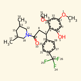 COc1cc(O)c(C(CC(=O)N2CC(C)CC(C)C2)c2ccc(C(F)(F)F)cc2)c(OC)c1